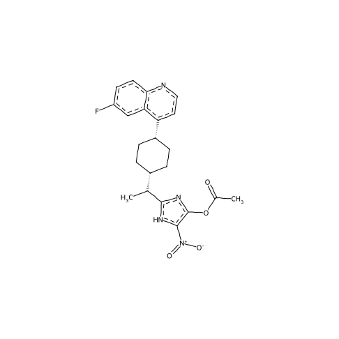 CC(=O)Oc1nc(C(C)[C@H]2CC[C@@H](c3ccnc4ccc(F)cc43)CC2)[nH]c1[N+](=O)[O-]